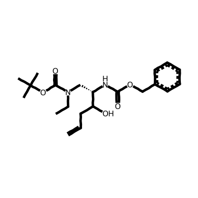 C=CCC(O)[C@H](CN(CC)C(=O)OC(C)(C)C)NC(=O)OCc1ccccc1